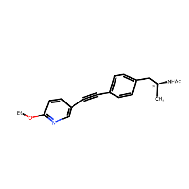 CCOc1ccc(C#Cc2ccc(C[C@H](C)NC(C)=O)cc2)cn1